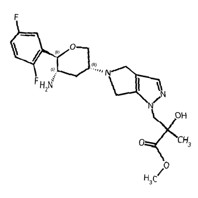 COC(=O)C(C)(O)Cn1ncc2c1CN([C@H]1CO[C@H](c3cc(F)ccc3F)[C@@H](N)C1)C2